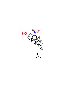 CC(C)CCC[C@@H](C)[C@H]1CC[C@H]2[C@@H]3CC([N+](=O)[O-])=C4C[C@@H](O)CC[C@]4(C)[C@H]3CC[C@]12C